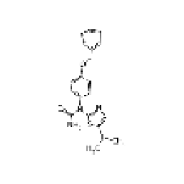 CC(C)c1cnc(N(C(N)=O)c2ccc(OCc3ccccc3)cc2)s1